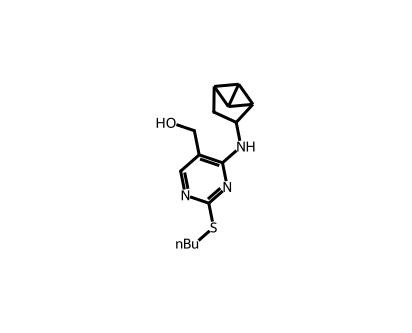 CCCCSc1ncc(CO)c(NC2CC3C4C2C34)n1